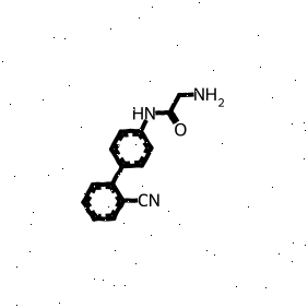 N#Cc1ccccc1-c1ccc(NC(=O)CN)cc1